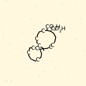 CC1(C2CCCCCCCCCC2)CCCCCCC(C(=O)O)C(C(=O)O)CCCCCC1